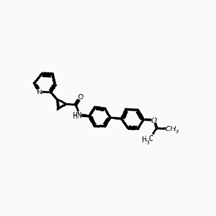 CC(C)Oc1ccc(-c2ccc(NC(=O)C3CC3c3ccccn3)cc2)cc1